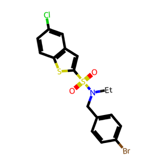 CCN(Cc1ccc(Br)cc1)S(=O)(=O)c1cc2cc(Cl)ccc2s1